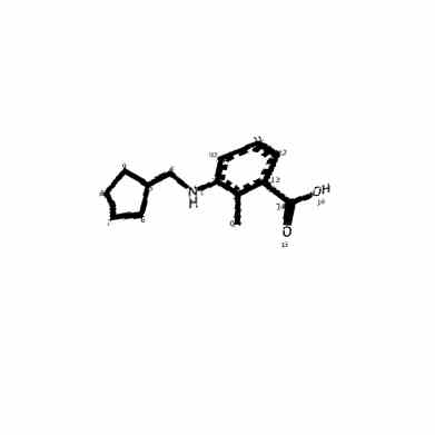 Cc1c(NCC2CCCC2)cccc1C(=O)O